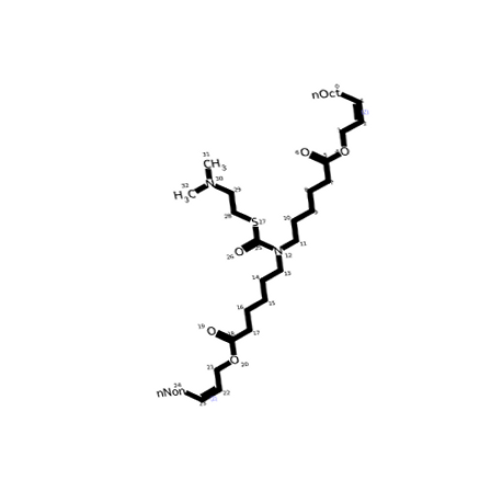 CCCCCCCC/C=C\COC(=O)CCCCCN(CCCCCC(=O)OC/C=C\CCCCCCCCC)C(=O)SCCN(C)C